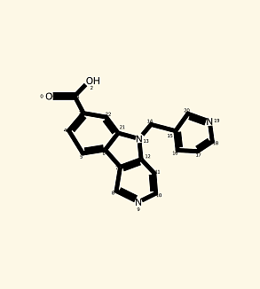 O=C(O)c1ccc2c3cnccc3n(Cc3cccnc3)c2c1